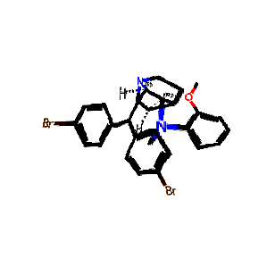 COc1ccccc1N(C)[C@@H]1C2CCN(CC2)[C@@H]1C(c1ccc(Br)cc1)c1ccc(Br)cc1